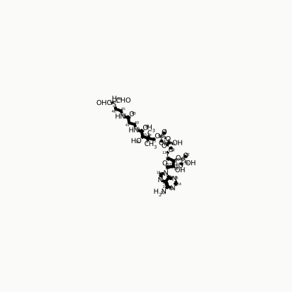 CC(C)(COP(=O)(O)OP(=O)(O)OC[C@H]1O[C@@H](n2cnc3c(N)ncnc32)[C@H](O)[C@@H]1OP(=O)(O)O)C(O)C(=O)NCCC(=O)NCC[SH](C=O)C=O